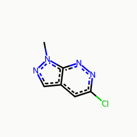 Cn1ncc2cc(Cl)nnc21